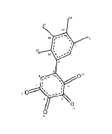 Cc1cc(-c2cc(=O)c(=O)c(=O)c2=O)c(C)c(C)c1C